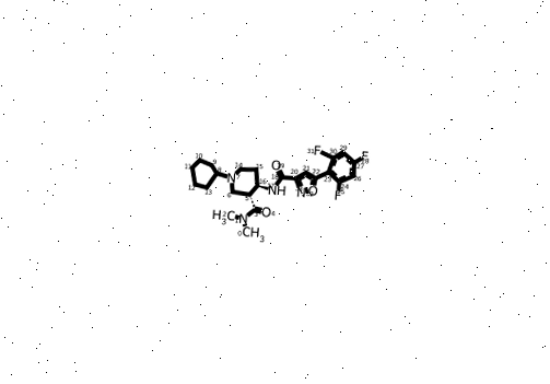 CN(C)C(=O)[C@@H]1CN(C2CCCCC2)CC[C@H]1NC(=O)c1cc(-c2c(F)cc(F)cc2F)on1